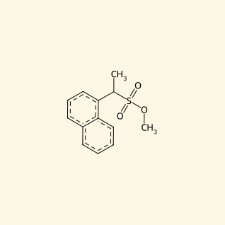 COS(=O)(=O)C(C)c1cccc2ccccc12